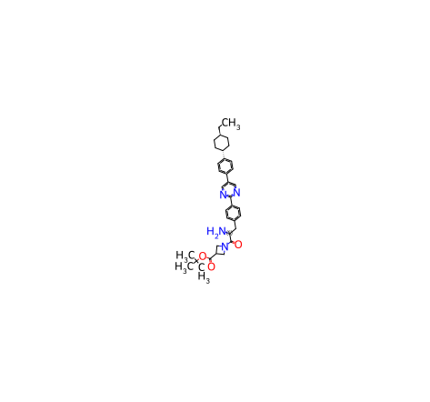 CC[C@H]1CC[C@H](c2ccc(-c3cnc(-c4ccc(C[C@H](N)C(=O)N5CC(C(=O)OC(C)(C)C)C5)cc4)nc3)cc2)CC1